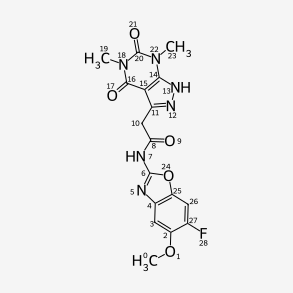 COc1cc2nc(NC(=O)Cc3n[nH]c4c3c(=O)n(C)c(=O)n4C)oc2cc1F